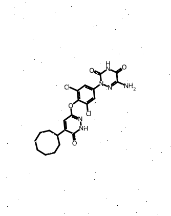 Nc1nn(-c2cc(Cl)c(Oc3cc(C4CCCCCCC4)c(=O)[nH]n3)c(Cl)c2)c(=O)[nH]c1=O